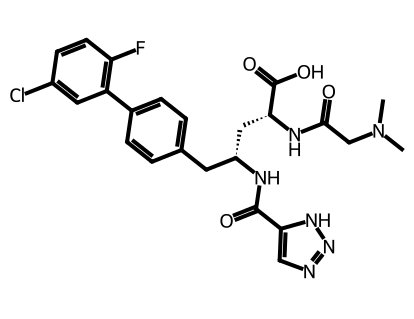 CN(C)CC(=O)N[C@H](C[C@@H](Cc1ccc(-c2cc(Cl)ccc2F)cc1)NC(=O)c1cnn[nH]1)C(=O)O